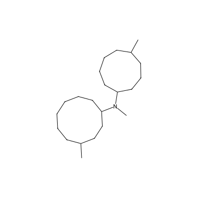 CC1CCCCC(N(C)C2CCCCCCC(C)CC2)CCC1